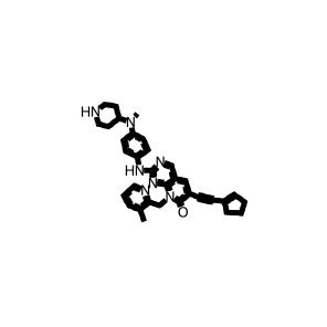 Cc1cccnc1Cn1c(=O)c(C#CC2=CCCC2)cc2cnc(Nc3ccc(N(C)C4CCNCC4)cc3)nc21